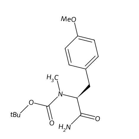 COc1ccc(C[C@@H](C(N)=O)N(C)C(=O)OC(C)(C)C)cc1